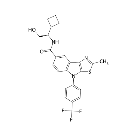 Cc1nc2c3cc(C(=O)N[C@@H](CO)C4CCC4)ccc3n(-c3ccc(C(F)(F)F)cc3)c2s1